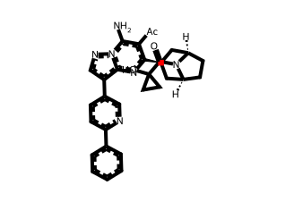 CC(=O)c1c([C@H]2C[C@H]3CC[C@@H](C2)N3C(=O)C2(O)CC2)nc2c(-c3ccc(-c4ccccc4)nc3)cnn2c1N